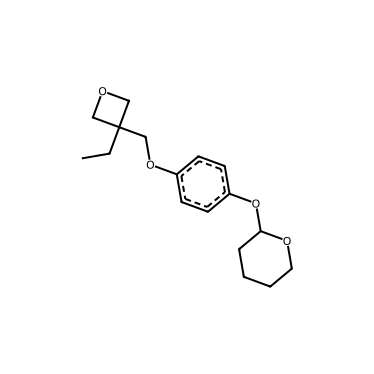 CCC1(COc2ccc(OC3CCCCO3)cc2)COC1